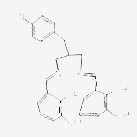 O=[N+]([O-])c1ccc(CC(CN=Cc2cccc(O)c2O)CN=Cc2cccc(O)c2O)cc1